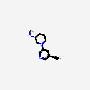 C#Cc1cncc(N2CCC[C@H](NC)C2)c1